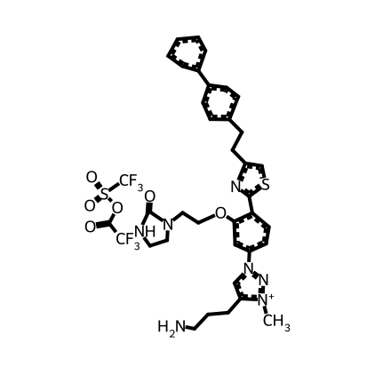 C[n+]1nn(-c2ccc(-c3nc(CCc4ccc(-c5ccccc5)cc4)cs3)c(OCCN3CCNC3=O)c2)cc1CCCN.O=C(OS(=O)(=O)C(F)(F)F)C(F)(F)F